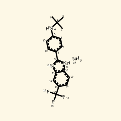 CC(C)(C)Nc1ccc(-c2nc3cc(C(F)(F)F)ccc3[nH]2)cc1.N